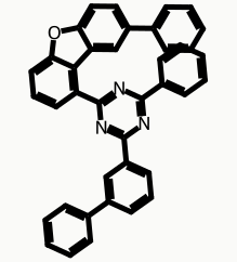 c1ccc(-c2cccc(-c3nc(-c4ccccc4)nc(-c4cccc5oc6ccc(-c7ccccc7)cc6c45)n3)c2)cc1